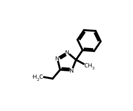 [CH2]CC1=NC(C)(c2ccccc2)N=N1